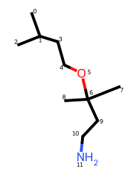 CC(C)CCOC(C)(C)CCN